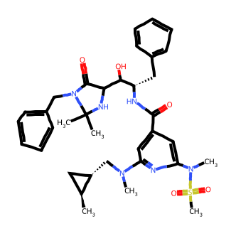 C[C@H]1C[C@@H]1CN(C)c1cc(C(=O)N[C@@H](Cc2ccccc2)C(O)C2NC(C)(C)N(Cc3ccccc3)C2=O)cc(N(C)S(C)(=O)=O)n1